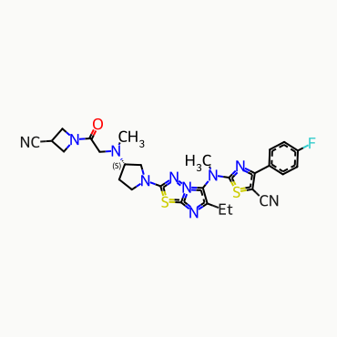 CCc1nc2sc(N3CC[C@H](N(C)CC(=O)N4CC(C#N)C4)C3)nn2c1N(C)c1nc(-c2ccc(F)cc2)c(C#N)s1